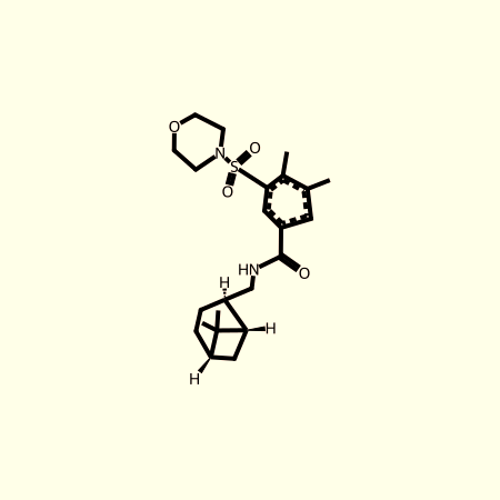 Cc1cc(C(=O)NC[C@@H]2CC[C@H]3C[C@@H]2C3(C)C)cc(S(=O)(=O)N2CCOCC2)c1C